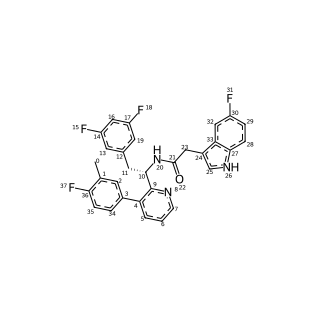 Cc1cc(-c2cccnc2[C@H](Cc2cc(F)cc(F)c2)NC(=O)Cc2c[nH]c3ccc(F)cc23)ccc1F